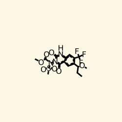 CCC(OC)c1cc2c(=O)n(N(C(=O)OC)S(C)(=O)=O)c(=O)[nH]c2cc1C(F)(F)F